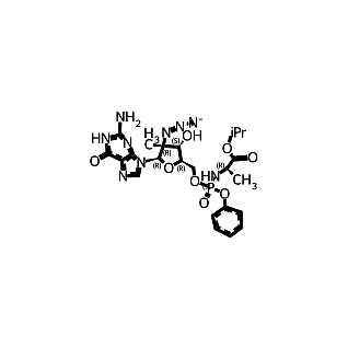 CC(C)OC(=O)[C@@H](C)N[P@](=O)(OC[C@H]1O[C@@H](n2cnc3c(=O)[nH]c(N)nc32)[C@](C)(N=[N+]=[N-])[C@@H]1O)Oc1ccccc1